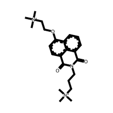 C[N+](C)(C)CCCN1C(=O)c2cccc3c(OCC[N+](C)(C)C)ccc(c23)C1=O